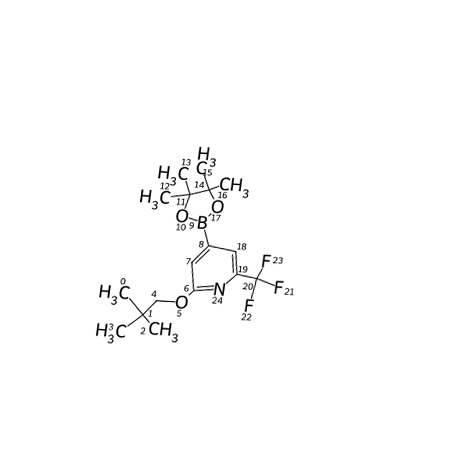 CC(C)(C)COc1cc(B2OC(C)(C)C(C)(C)O2)cc(C(F)(F)F)n1